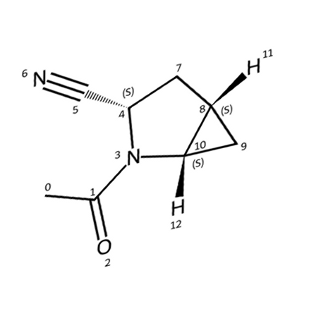 CC(=O)N1[C@H](C#N)C[C@@H]2C[C@@H]21